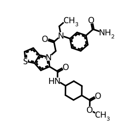 CCN(C(=O)Cn1c(C(=O)NC2CCC(C(=O)OC)CC2)cc2sccc21)c1cccc(C(N)=O)c1